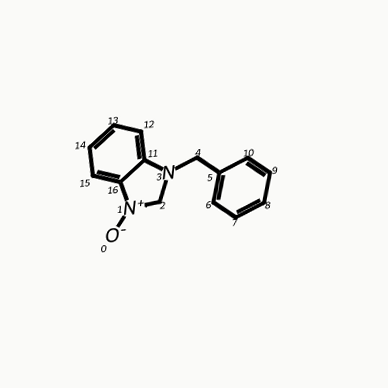 [O-][N+]1CN(Cc2ccccc2)c2ccccc21